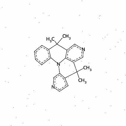 CC1(C)c2ccccc2N2c3cnccc3C(C)(C)c3cncc1c32